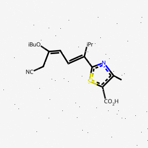 Cc1nc(/C(=C/C=C(\CC#N)OCC(C)C)C(C)C)sc1C(=O)O